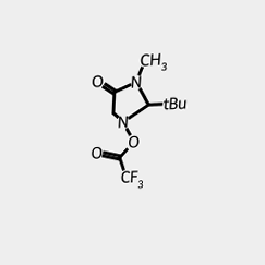 CN1C(=O)CN(OC(=O)C(F)(F)F)C1C(C)(C)C